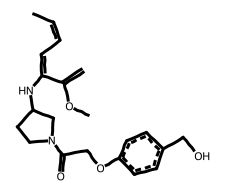 C=C(OC)/C(=C\C=C/C)NC1CCN(C(=O)COc2ccc(CO)cc2)C1